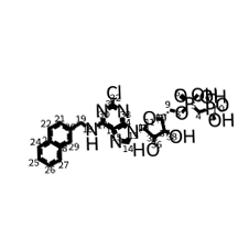 O=P(O)(O)CP(=O)(O)OC[C@H]1O[C@@H](n2cnc3c(NCc4ccc5ccccc5c4)nc(Cl)nc32)C(O)C1O